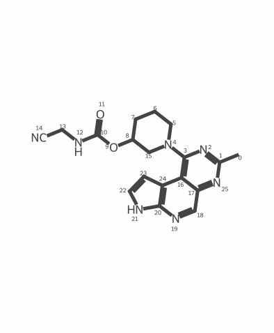 Cc1nc(N2CCCC(OC(=O)NCC#N)C2)c2c(cnc3[nH]ccc32)n1